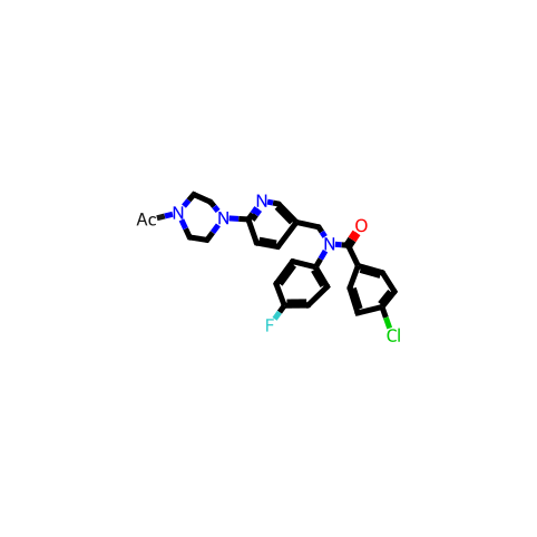 CC(=O)N1CCN(c2ccc(CN(C(=O)c3ccc(Cl)cc3)c3ccc(F)cc3)cn2)CC1